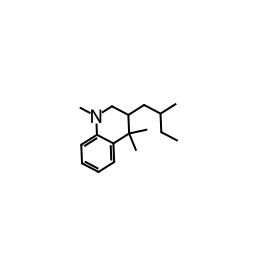 CCC(C)CC1CN(C)c2ccccc2C1(C)C